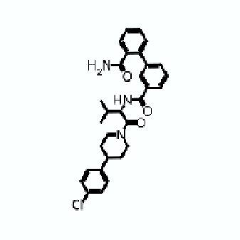 CC(C)[C@@H](NC(=O)c1cccc(-c2ccccc2C(N)=O)c1)C(=O)N1CCC(c2ccc(Cl)cc2)CC1